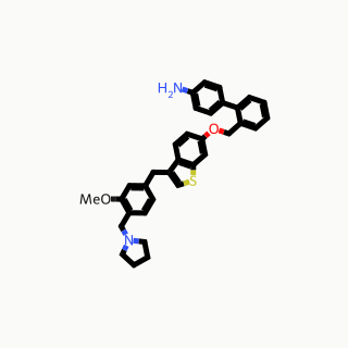 COc1cc(Cc2csc3cc(OCc4ccccc4-c4ccc(N)cc4)ccc23)ccc1CN1CCCC1